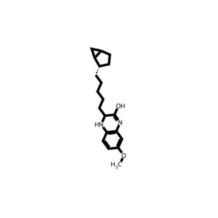 COc1ccc2c(c1)N=C(O)C(CCCCC[C@H]1CCC3CC31)N2